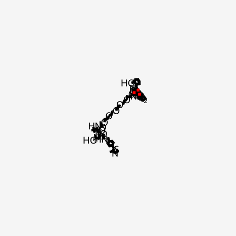 Cc1ncsc1-c1ccc(CNC(=O)[C@@H]2C[C@@H](O)CN2C(=O)[C@@H](NC(=O)COCCOCCOCCOCCOCCOc2cc(N3C4CCC3CN(c3cc(-c5ccccc5O)nnc3N)C4)ccn2)C(C)(C)C)cc1